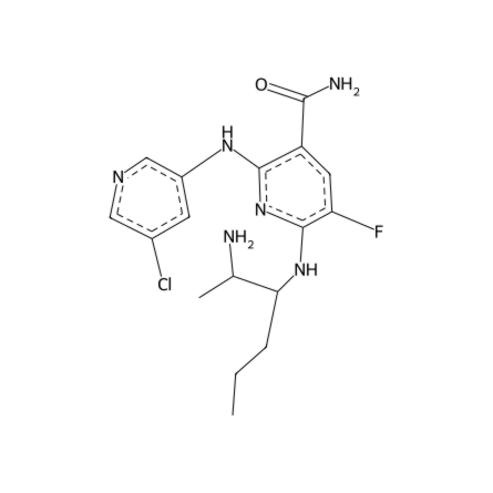 CCCC(Nc1nc(Nc2cncc(Cl)c2)c(C(N)=O)cc1F)C(C)N